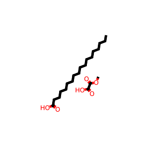 CCCCCCCCCCCCCCCCCC(=O)O.COC(=O)C(=O)O